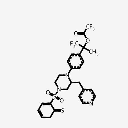 CC(OC(=O)C(F)(F)F)(c1ccc(N2CCN(S(=O)(=O)C3=CC=CCC3=S)C[C@@H]2Cc2ccncc2)cc1)C(F)(F)F